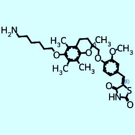 COc1cc(/C=C2/SC(=O)NC2=O)ccc1OC[C@]1(C)CCc2c(C)c(OCCCCCCN)c(C)c(C)c2O1